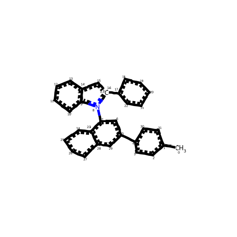 Cc1ccc(-c2cc(-n3c4ccccc4c[13c]3-c3ccccc3)c3ccccc3c2)cc1